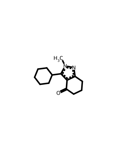 Cn1nc2c(c1C1CCCCC1)C(=O)CCC2